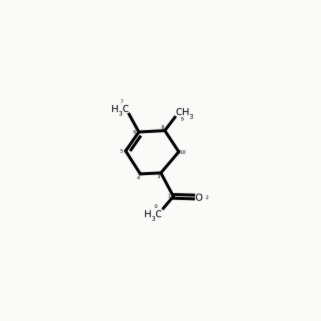 CC(=O)C1CC=C(C)C(C)C1